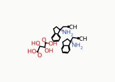 C#CC[C@]1(N)CCc2ccccc21.C#CC[C@]1(N)CCc2ccccc21.O=C(O)C(O)C(O)C(=O)O